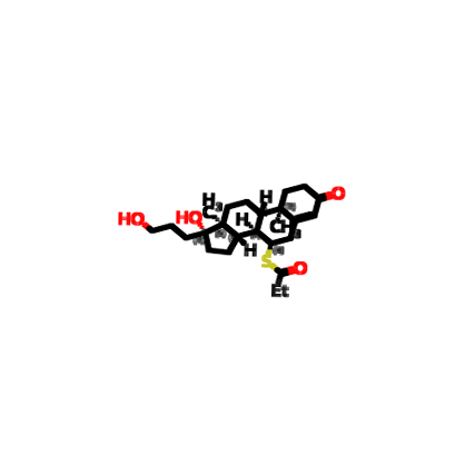 CCC(=O)S[C@@H]1CC2=CC(=O)CC[C@]2(C)[C@H]2CC[C@@]3(C)[C@@H](CC[C@@]3(O)CCCO)[C@H]12